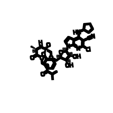 CC(C)C(=O)OCOC(=O)[C@H](C)NP(=O)(COC[C@H]1O[C@@H](n2ccc3c(NC4CCCC4)c(C#N)c(Cl)nc32)[C@H](O)[C@@H]1O)Oc1ccccc1